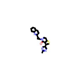 Cc1ncc(-c2csc3ccn(C4CC4c4ccc5ccccc5n4)c(=O)c23)cn1